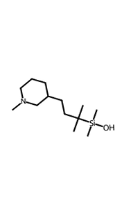 CN1CCCC(CCC(C)(C)[Si](C)(C)O)C1